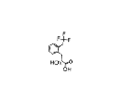 O=C(O)[C@H](O)Cc1ccccc1CC(F)(F)F